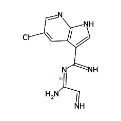 N=C/C(N)=N\C(=N)c1c[nH]c2ncc(Cl)cc12